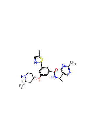 Cc1cnc(-c2cc(O[C@H]3CCN[C@@H](C(F)(F)F)C3)cc(C(=O)NC(C)c3cnc(C(F)(F)F)nc3)c2)s1